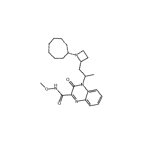 CONC(=O)c1nc2ccccc2n(C(C)CC2CCN2C2CCCCCCC2)c1=O